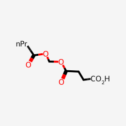 CCCC(=O)OCOC(=O)CCC(=O)O